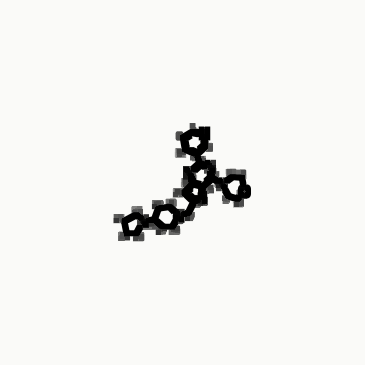 c1cncc(-c2nc(N3CCOCC3)c3sc(CN4CCC(N5CCCC5)CC4)cc3n2)c1